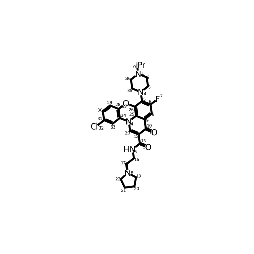 CC(C)N1CCN(c2c(F)cc3c(=O)c(C(=O)NCCN4CCCC4)cn4c3c2Oc2ccc(Cl)cc2-4)CC1